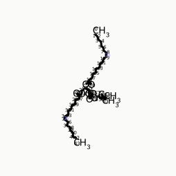 CCCCCCCC/C=C\CCCCCCCCCC(=O)O[C@H](COC(=O)CCCCCCC/C=C\CCCCCCCC)COP(=O)([O-])OCC[N+](C)(C)C